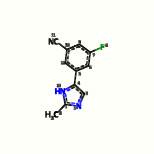 Cc1ncc(-c2cc(F)cc(C#N)c2)[nH]1